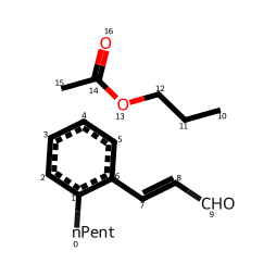 CCCCCc1ccccc1/C=C/C=O.CCCOC(C)=O